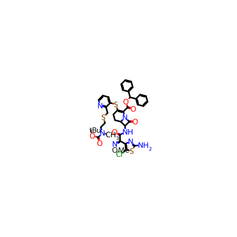 CON=C(C(=O)NC1C(=O)N2C(C(=O)OC(c3ccccc3)c3ccccc3)=C(Sc3cccnc3CSCCN(C)C(=O)OC(C)(C)C)CCC12)c1nc(N)sc1Cl